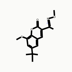 CO/N=C(\C)c1cc2cc(C(C)(C)C)cc(SC)c2oc1=O